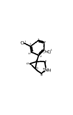 Cl.Clc1cccc(C23CNCC2C3)c1